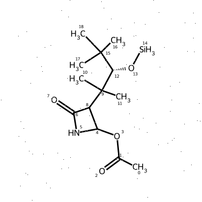 CC(=O)OC1NC(=O)C1C(C)(C)[C@@H](O[SiH3])C(C)(C)C